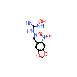 N=C(NO)NN=Cc1cc2c(cc1[N+](=O)[O-])OCO2